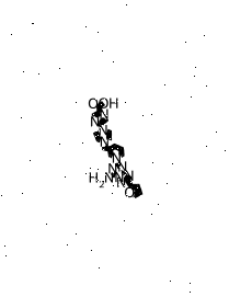 Nc1nc(N2CCCC(CN3CCN(c4cnc(C(=O)O)cn4)CC3)C2)nc2nc(-c3ccco3)nn12